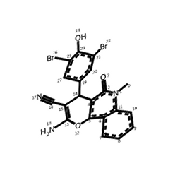 Cn1c(=O)c2c(c3ccccc31)OC(N)=C(C#N)C2c1cc(Br)c(O)c(Br)c1